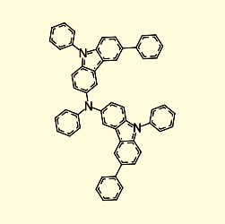 c1ccc(-c2ccc3c(c2)c2cc(N(c4ccccc4)c4ccc5c(c4)c4cc(-c6ccccc6)ccc4n5-c4ccccc4)ccc2n3-c2ccccc2)cc1